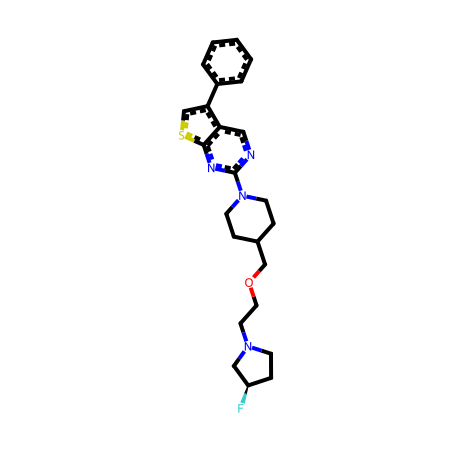 F[C@@H]1CCN(CCOCC2CCN(c3ncc4c(-c5ccccc5)csc4n3)CC2)C1